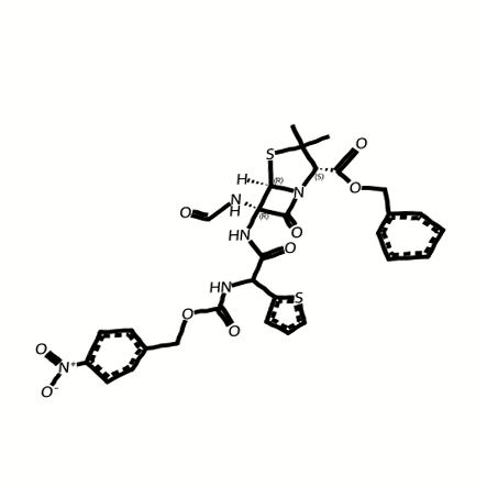 CC1(C)S[C@H]2N(C(=O)[C@@]2(NC=O)NC(=O)C(NC(=O)OCc2ccc([N+](=O)[O-])cc2)c2cccs2)[C@H]1C(=O)OCc1ccccc1